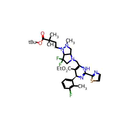 CCOC(=O)C1=C(CN2CC(F)(F)C3C2CN(C)N3CCC(C)(C)C(=O)OC(C)(C)C)NC(c2nccs2)=N[C@H]1c1cccc(F)c1C